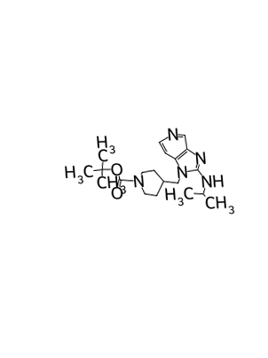 CC(C)Nc1nc2cnccc2n1CC1CCN(C(=O)OC(C)(C)C)CC1